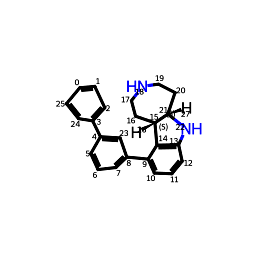 c1ccc(-c2cccc(-c3cccc4c3[C@@H]3CCNCC[C@@H]3N4)c2)cc1